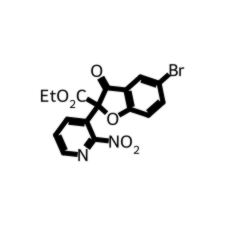 CCOC(=O)C1(c2cccnc2[N+](=O)[O-])Oc2ccc(Br)cc2C1=O